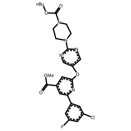 CCCCOC(=O)N1CCN(c2ncc(Oc3cc(C(=O)OC)cc(-c4cc(F)cc(Cl)c4)n3)cn2)CC1